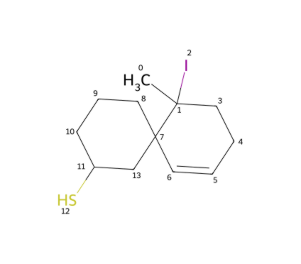 CC1(I)CCC=CC12CCCC(S)C2